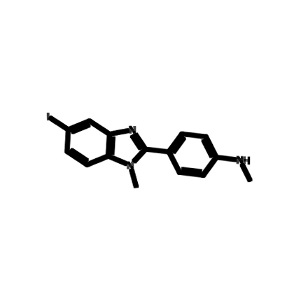 CNc1ccc(-c2nc3cc(I)ccc3n2C)cc1